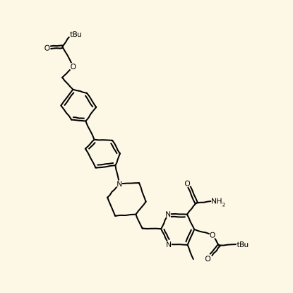 Cc1nc(CC2CCN(c3ccc(-c4ccc(COC(=O)C(C)(C)C)cc4)cc3)CC2)nc(C(N)=O)c1OC(=O)C(C)(C)C